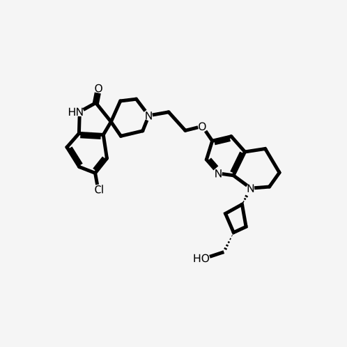 O=C1Nc2ccc(Cl)cc2C12CCN(CCOc1cnc3c(c1)CCCN3[C@H]1C[C@@H](CO)C1)CC2